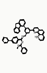 C=N/C(=N\C(=N/Cc1cc(-c2ccc3ccc4c(c3n2)NCC=C4)cc(-c2cccc3c2-c2ccccc2C3)c1)c1ccc(-c2ccccc2)cc1)c1ccccc1